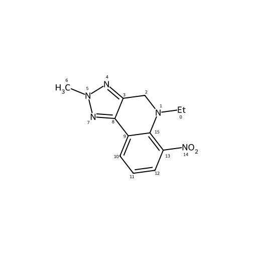 CCN1Cc2nn(C)nc2-c2cccc([N+](=O)[O-])c21